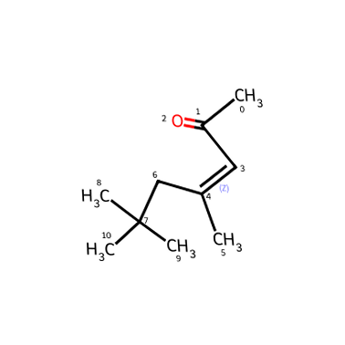 CC(=O)/C=C(/C)CC(C)(C)C